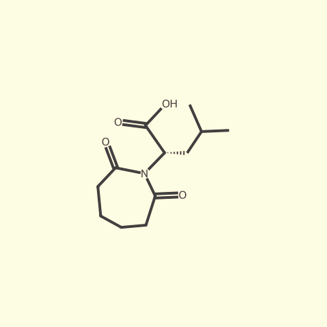 CC(C)C[C@@H](C(=O)O)N1C(=O)CCCCC1=O